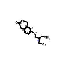 NC/C(=C\F)COc1ccc2c(c1)CNC(=O)C2